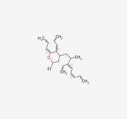 C=C/C=C\C=C(/C=C)C(C)CC1CC(CC)OC(=C/C=C)/C1=C\C=C